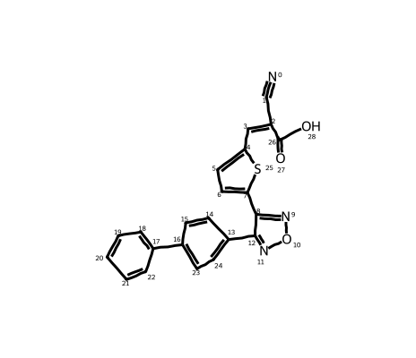 N#C/C(=C/c1ccc(-c2nonc2-c2ccc(-c3ccccc3)cc2)s1)C(=O)O